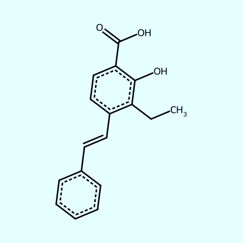 CCc1c(C=Cc2ccccc2)ccc(C(=O)O)c1O